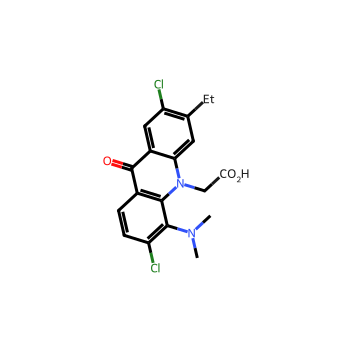 CCc1cc2c(cc1Cl)c(=O)c1ccc(Cl)c(N(C)C)c1n2CC(=O)O